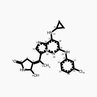 C/C(=C1/CC(=O)NC1O)c1cnc2c(NC3CC3)cc(Nc3cccc(Cl)c3)nn12